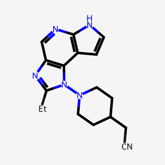 CCc1nc2cnc3[nH]ccc3c2n1N1CCC(CC#N)CC1